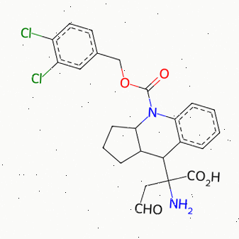 NC(CC=O)(C(=O)O)C1c2ccccc2N(C(=O)OCc2ccc(Cl)c(Cl)c2)C2CCCC21